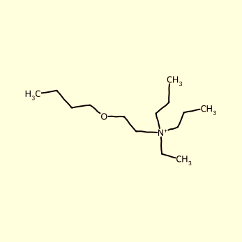 CCCCOCC[N+](CC)(CCC)CCC